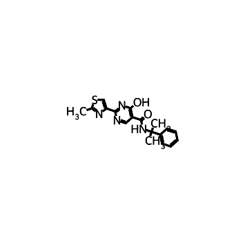 Cc1nc(-c2ncc(C(=O)NC(C)(C)c3ccccc3)c(O)n2)cs1